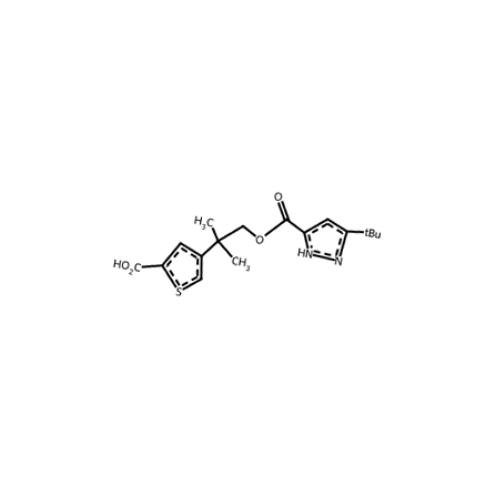 CC(C)(C)c1cc(C(=O)OCC(C)(C)c2csc(C(=O)O)c2)[nH]n1